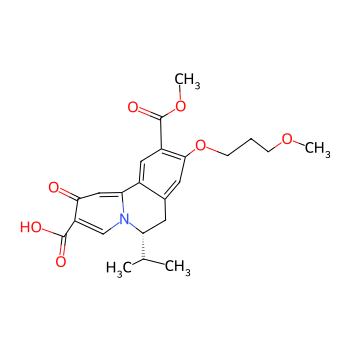 COCCCOc1cc2c(cc1C(=O)OC)-c1cc(=O)c(C(=O)O)cn1[C@@H](C(C)C)C2